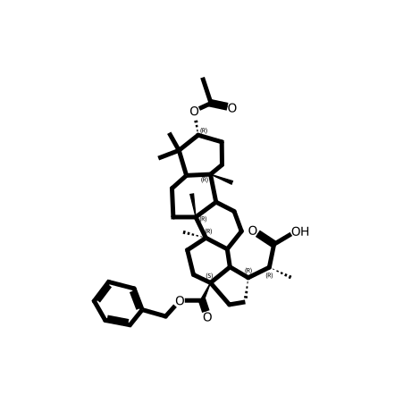 CC(=O)O[C@@H]1CC[C@@]2(C)C(CC[C@]3(C)C2CCC2C4[C@H]([C@@H](C)C(=O)O)CC[C@]4(C(=O)OCc4ccccc4)CC[C@]23C)C1(C)C